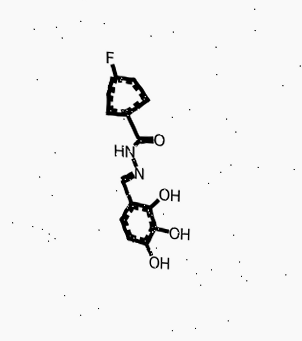 O=C(N/N=C/c1ccc(O)c(O)c1O)c1ccc(F)cc1